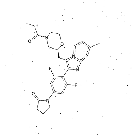 CNC(=O)N1CCO[C@@H](Cc2c(-c3c(F)cc(N4CCCC4=O)cc3F)nc3cc(C)ccn23)C1